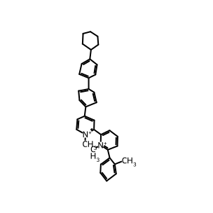 Cc1ccccc1-c1cccc(-c2cc(-c3ccc(-c4ccc(C5CCCCC5)cc4)cc3)cc[n+]2C)[n+]1C